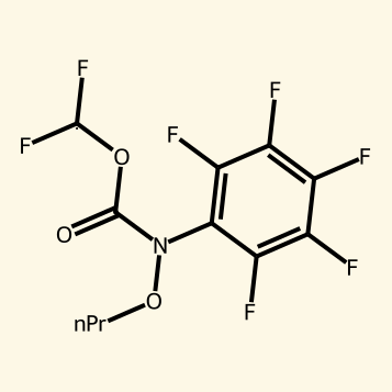 CCCON(C(=O)O[C](F)F)c1c(F)c(F)c(F)c(F)c1F